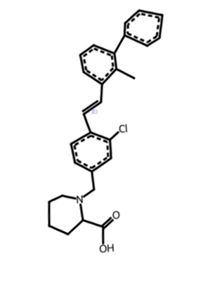 Cc1c(/C=C/c2ccc(CN3CCCCC3C(=O)O)cc2Cl)cccc1-c1ccccc1